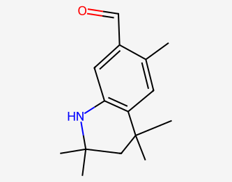 Cc1cc2c(cc1C=O)NC(C)(C)CC2(C)C